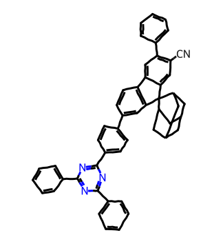 N#Cc1cc2c(cc1-c1ccccc1)-c1ccc(-c3ccc(-c4nc(-c5ccccc5)nc(-c5ccccc5)n4)cc3)cc1C21C2CC3CC(C2)CC1C3